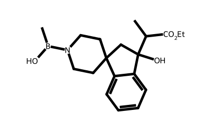 CCOC(=O)C(C)C1(O)CC2(CCN(B(C)O)CC2)c2ccccc21